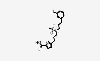 CS(=O)(=O)N(CCCc1cccc(Cl)c1)CCCc1ccc(C(=O)O)o1